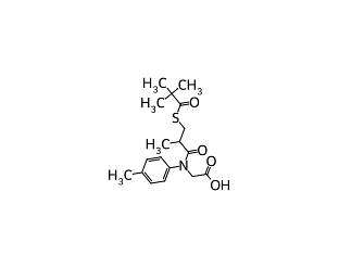 Cc1ccc(N(CC(=O)O)C(=O)C(C)CSC(=O)C(C)(C)C)cc1